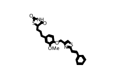 COc1cc(CCCC2SC(=O)NC2=O)ccc1OCc1csc(/C=C/c2ccccc2)n1